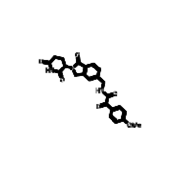 COc1ccc(C(=O)C(=O)NCc2ccc3c(c2)CN(C2CCC(=O)NC2=O)C3=O)cc1